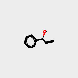 C=C[C@@H]([O])c1ccccc1